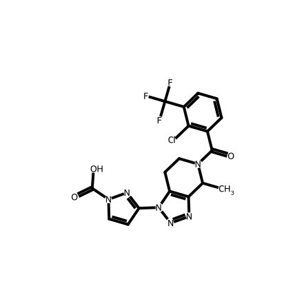 CC1c2nnn(-c3ccn(C(=O)O)n3)c2CCN1C(=O)c1cccc(C(F)(F)F)c1Cl